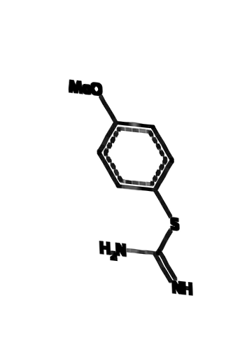 COc1ccc(SC(=N)N)cc1